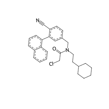 N#Cc1ccc(CN(CCC2CCCCC2)C(=O)CCl)cc1-c1cccc2ccccc12